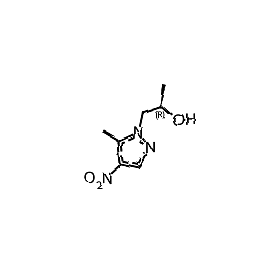 Cc1c([N+](=O)[O-])cnn1C[C@@H](C)O